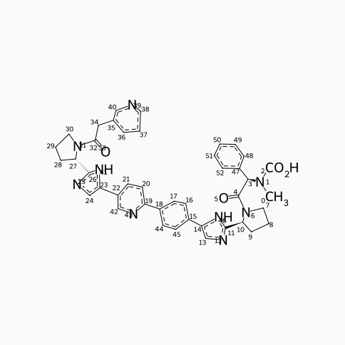 CN(C(=O)O)[C@@H](C(=O)N1CCC[C@H]1c1ncc(-c2ccc(-c3ccc(-c4cnc([C@@H]5CCCN5C(=O)Cc5cccnc5)[nH]4)cn3)cc2)[nH]1)c1ccccc1